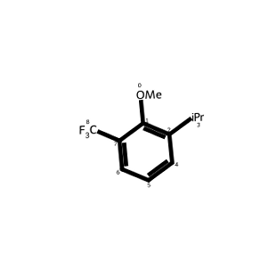 COc1c(C(C)C)cccc1C(F)(F)F